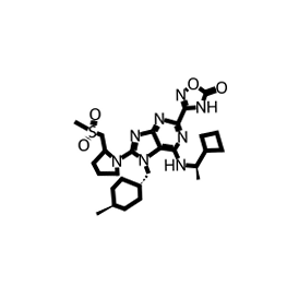 C[C@@H](Nc1nc(-c2noc(=O)[nH]2)nc2nc(N3CCCC3CS(C)(=O)=O)n(C[C@H]3CC[C@H](C)CC3)c12)C1CCC1